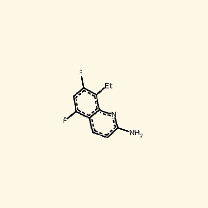 CCc1c(F)cc(F)c2ccc(N)nc12